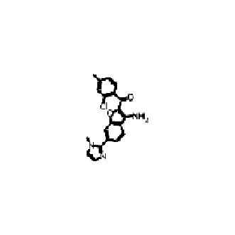 Cc1ccc(C(=O)c2oc3cc(-c4nccn4C)ccc3c2N)c(Cl)c1